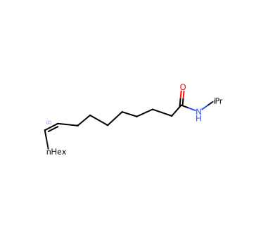 CCCCCC/C=C\CCCCCCCC(=O)NC(C)C